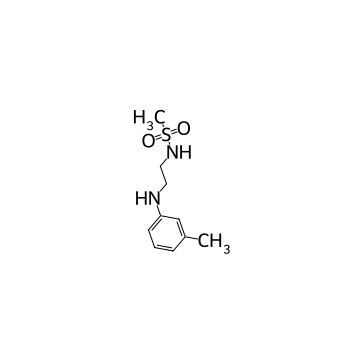 Cc1cccc(NCCNS(C)(=O)=O)c1